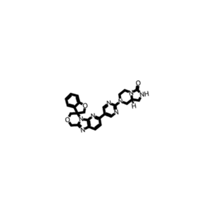 O=C1NC[C@@H]2CN(c3ncc(-c4ccc5nc6n(c5n4)C4(COC6)COc5ccccc54)cn3)CCN12